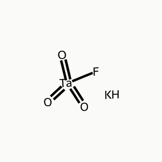 [KH].[O]=[Ta](=[O])(=[O])[F]